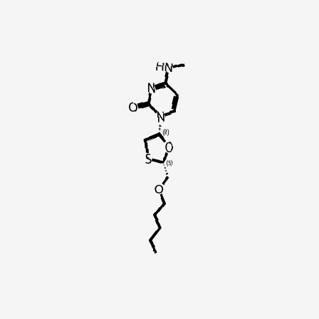 CCCCCOC[C@H]1O[C@@H](n2ccc(NC)nc2=O)CS1